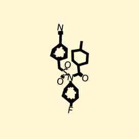 CC1CCC(C(=O)N(c2ccc(F)cc2)S(=O)(=O)Cc2ccc(C#N)cc2)CC1